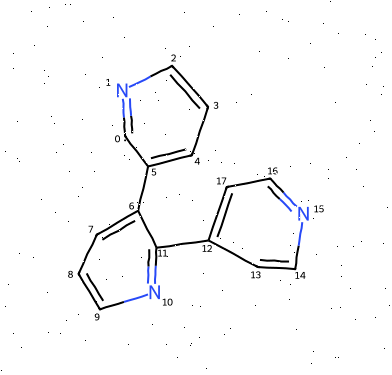 [c]1ncccc1-c1cccnc1-c1ccncc1